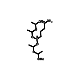 COC(C)OC(C)O[SiH](CCCCN)OC(C)OC(C)OC